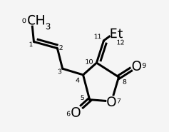 CC=CCC1C(=O)OC(=O)C1=CCC